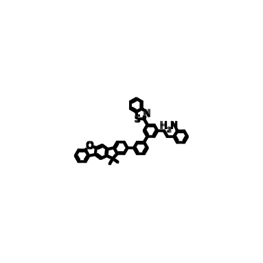 CC1(C)C2=CC(c3cccc(-c4cc(CCc5ccccc5N)cc(-c5nc6ccccc6s5)c4)c3)CC=C2c2cc3oc4ccccc4c3cc21